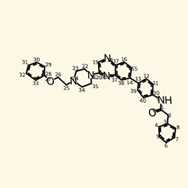 O=C(Cc1ccccc1)Nc1ccc(-c2ccc3ncc(N4CCN(CCOc5ccccc5)CC4)nc3c2)cc1